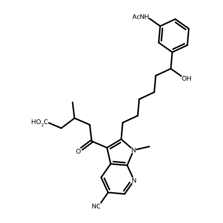 CC(=O)Nc1cccc(C(O)CCCCCc2c(C(=O)CC(C)CC(=O)O)c3cc(C#N)cnc3n2C)c1